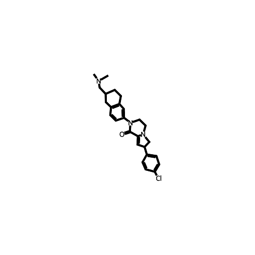 CN(C)CC1CCc2cc(N3CCN4CC(c5ccc(Cl)cc5)C=C4C3=O)ccc2C1